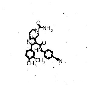 Cc1ccc(-c2nn3c(c2C(=O)Nc2ccc(C#N)cc2)CN(C(N)=O)CC3)cc1C